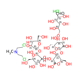 CN(CCCl)CCCl.Cl.O=C[C@@H](O)[C@@H](O)[C@H](O)[C@H](O)CO.OC[C@H]1O[C@@H](O[C@H]2[C@H](O)[C@@H](O)[C@H](O)O[C@@H]2CO)[C@H](O)[C@@H](O)[C@H]1O.OC[C@H]1O[C@H](O[C@H]2O[C@H](CO)[C@@H](O)[C@H](O)[C@H]2O)[C@H](O)[C@@H](O)[C@@H]1O